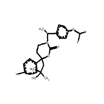 C[C@@H](c1ccc(OC(F)F)cc1)N1CCC(CC(C)(C)O)(c2ccc(F)cc2)OC1=O